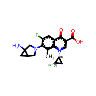 Cc1c(N2CC3CC3(N)C2)c(F)cc2c(=O)c(C(=O)O)cn([C@@H]3C[C@@H]3F)c12